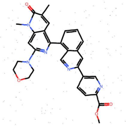 COC(=O)c1ccc(-c2cc3cccc(-c4nc(N5CCOCC5)cc5c4cc(C)c(=O)n5C)c3cn2)cn1